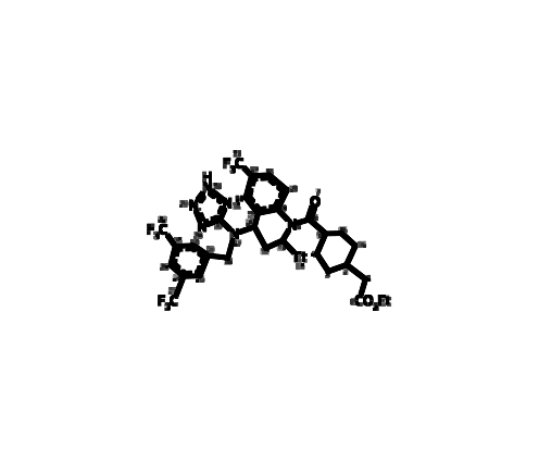 CCOC(=O)CC1CCC(C(=O)N2c3ccc(C(F)(F)F)cc3C(N(Cc3cc(C(F)(F)F)cc(C(F)(F)F)c3)c3nn[nH]n3)CC2CC)CC1